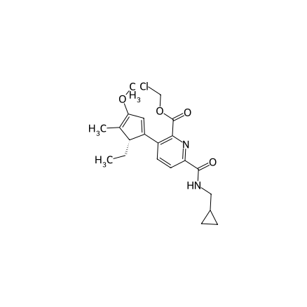 CC[C@H]1C(c2ccc(C(=O)NCC3CC3)nc2C(=O)OCCl)=CC(OC)=C1C